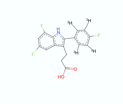 [2H]c1c([2H])c(-c2[nH]c3c(F)cc(F)cc3c2CCC(=O)O)c([2H])c([2H])c1F